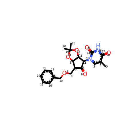 Cc1cn(C2C(=O)C(COCc3ccccc3)C3OC(C)(C)OC32)c(=O)[nH]c1=O